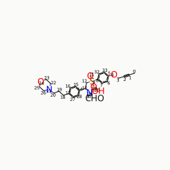 CC#CCOc1ccc(S(=O)(=O)CC(c2ccc(CCCN3CCOCC3)cc2)N(O)C=O)cc1